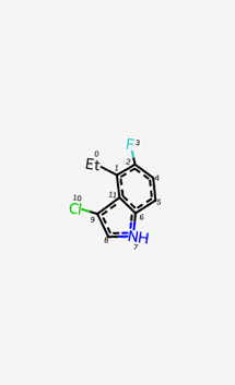 CCc1c(F)ccc2[nH]cc(Cl)c12